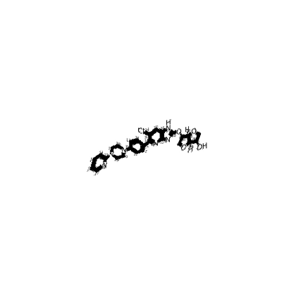 O[C@@H]1CO[C@H]2[C@@H]1OC[C@H]2Oc1nc2nc(-c3ccc(N4CCN(c5ccccn5)CC4)cc3)c(Cl)cc2[nH]1